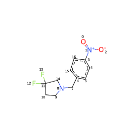 O=[N+]([O-])c1ccc(CN2CCC(F)(F)C2)cc1